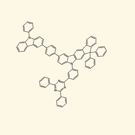 c1ccc(-c2nc(-c3ccccc3)nc(-c3cccc(-n4c5ccc(-c6ccc(-c7ccc8c(c7)c7ccccc7n8-c7ccccc7)cc6)cc5c5cc6c(cc54)C(c4ccccc4)(c4ccccc4)c4ccccc4-6)c3)n2)cc1